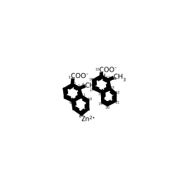 Cc1c(C(=O)[O-])ccc2ccccc12.Cc1c(C(=O)[O-])ccc2ccccc12.[Zn+2]